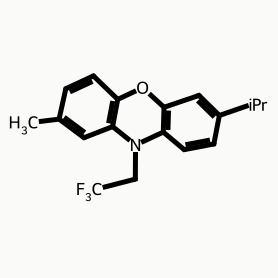 Cc1ccc2c(c1)N(CC(F)(F)F)c1ccc(C(C)C)cc1O2